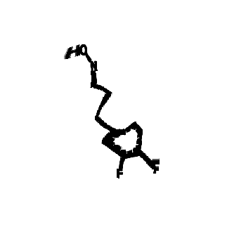 ON=CCCc1ccc(F)c(F)c1